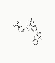 CN(C(=O)[C@H]1CN(C(=O)O)CCO1)[C@@H](c1ccc(N[C@H]2Cc3ccccc3C2(C)C)cn1)C(F)(F)F